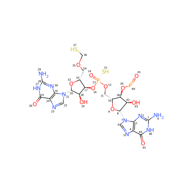 Nc1nc2c(ncn2[C@@H]2O[C@H](CO[P@@](=O)(S)O[C@H]3[C@@H](O)[C@H](n4cnc5c(=O)[nH]c(N)nc54)O[C@@H]3COCS)[C@@H](OP=O)[C@H]2O)c(=O)[nH]1